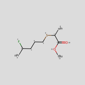 CCCC(F)CCCSC(CCC)C(=O)OC(C)(C)C